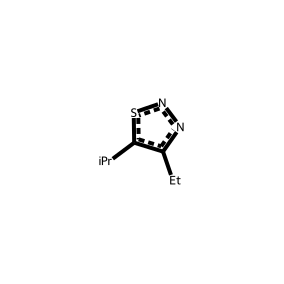 CCc1nnsc1C(C)C